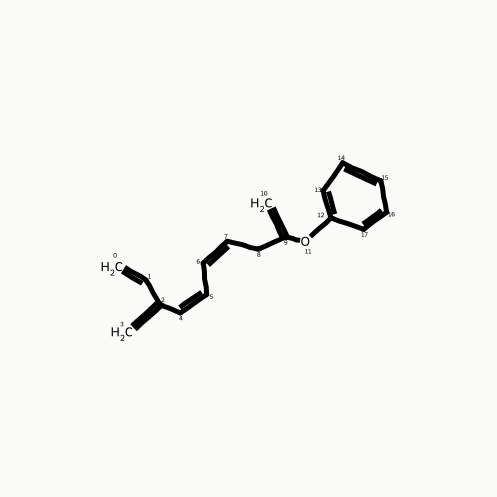 C=CC(=C)/C=C\C=C/CC(=C)Oc1ccccc1